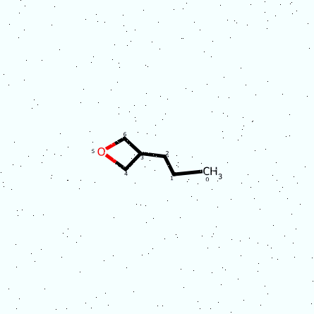 CC[CH]C1COC1